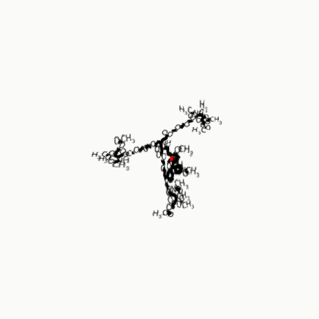 CCC(CCCCNC(CCC(=O)OCCOCCOCCOC1OC(COC(C)=O)C(OC(C)=O)C(C)C1NC(C)=O)(CCC(=O)OCCOCCOCCOC1OC(COC(C)=O)C(OC(C)=O)C(C)C1NC(C)=O)CC(=O)OCCOCCOCCOC1OC(COC(C)=O)C(OC(C)=O)C(C)C1NC(C)=O)COC(c1ccccc1)(c1ccc(OC)cc1)c1ccc(OC)cc1